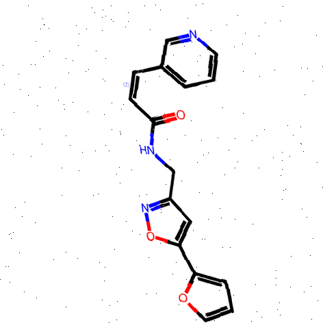 O=C(/C=C\c1cccnc1)NCc1cc(-c2ccco2)on1